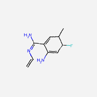 C=C/N=C(/N)C1=CC(C)C(F)C=C1N